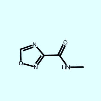 CNC(=O)c1ncon1